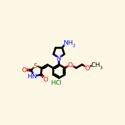 COCCOc1cccc(C=C2SC(=O)NC2=O)c1N1CCC(N)C1.Cl